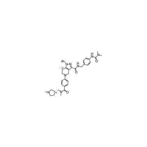 CC(C)n1nc(C(=O)NCc2ccc(NC(=O)N(C)C)cc2)c2c1[C@@H](C)CN(c1ccc(C(=O)N(C)C[C@@H]3CCN(C)C3)cc1)C2